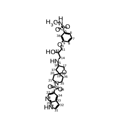 CNS(=O)(=O)c1cccc(OCC(O)CNC2COC3(CCN(S(=O)(=O)c4cnc5[nH]ccc5c4)CC3)C2)c1